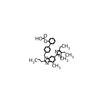 CCCc1nc2c(C)cc(-c3nc(CC)c(CC)n3C)cc2n1Cc1ccc(-c2ccccc2OC(=O)O)cc1